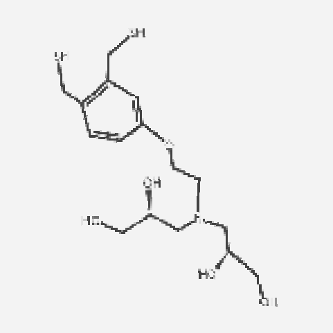 OC[C@@H](O)CN(CCOc1ccc(CS)c(CS)c1)C[C@H](O)CO